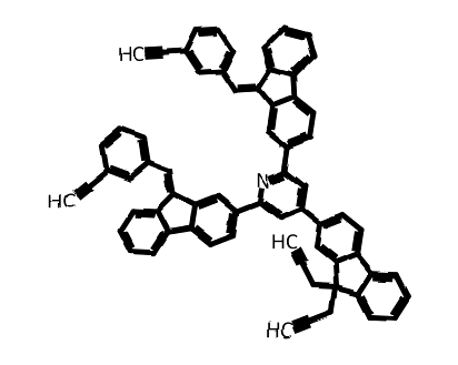 C#CCC1(CC#C)c2ccccc2-c2ccc(-c3cc(-c4ccc5c(c4)/C(=C/c4cccc(C#C)c4)c4ccccc4-5)nc(-c4ccc5c(c4)/C(=C/c4cccc(C#C)c4)c4ccccc4-5)c3)cc21